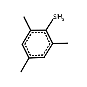 Cc1cc(C)c([SiH3])c(C)c1